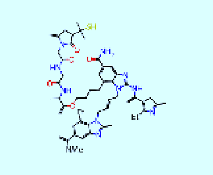 C=C(Nc1nc2cc(C(N)=O)cc(CCCCOC(=C)C(C)NC(=O)CNC(=O)CN3C(=C)CC(C(C)(C)S)C3=O)c2n1C/C=C/Cn1c(C)nc2cc(C(=C)NC)cc(CC)c21)C1=C(CC)N=C(C)C1